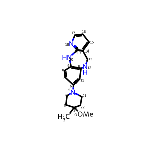 COC1(C)CCN(c2ccc3c(c2)NCc2cccnc2N3)CC1